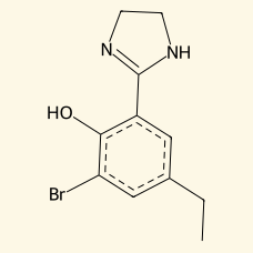 CCc1cc(Br)c(O)c(C2=NCCN2)c1